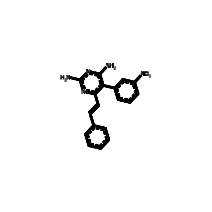 Nc1nc(N)c(-c2cccc([N+](=O)[O-])c2)c(C=Cc2ccccc2)n1